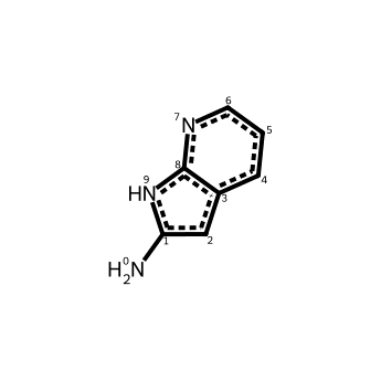 Nc1cc2cccnc2[nH]1